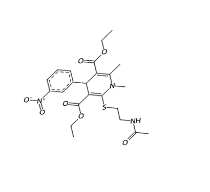 CCOC(=O)C1=C(C)N(C)C(SCCNC(C)=O)=C(C(=O)OCC)C1c1cccc([N+](=O)[O-])c1